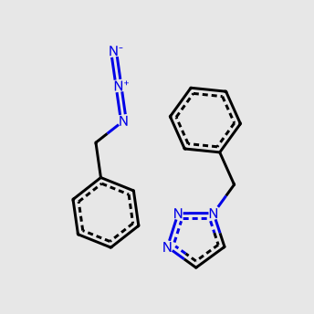 [N-]=[N+]=NCc1ccccc1.c1ccc(Cn2ccnn2)cc1